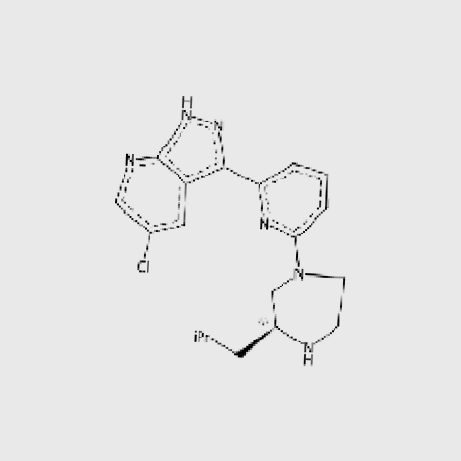 CC(C)C[C@H]1CN(c2cccc(-c3n[nH]c4ncc(Cl)cc34)n2)CCN1